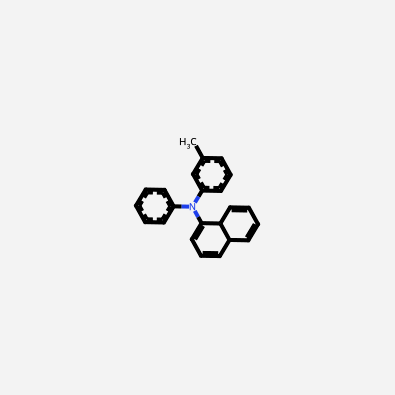 Cc1cccc(N(C2=CC=CC3C=CC=CC23)c2ccccc2)c1